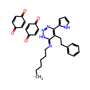 CCCCCCN=c1[nH]nnc(-c2ccc[nH]2)c1CCc1ccccc1.O=C1C=CC(=O)C=C1.O=C1C=CC(=O)C=C1